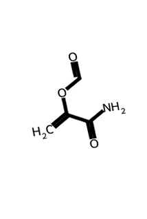 C=C(OC=O)C(N)=O